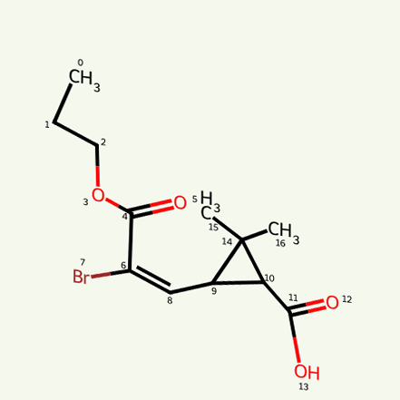 CCCOC(=O)/C(Br)=C\C1C(C(=O)O)C1(C)C